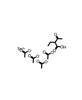 CC(=O)[O-].CC(=O)[O-].CC(=O)[O-].CC(=O)[O-].CCC(C(C)=O)C(=O)O.[Sn+4]